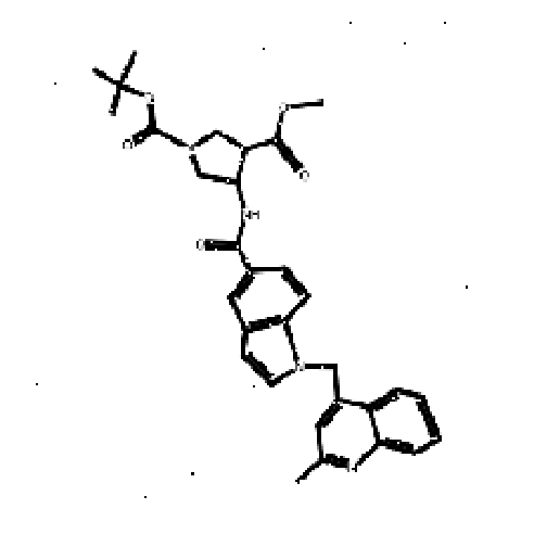 COC(=O)C1CN(C(=O)OC(C)(C)C)CC1NC(=O)c1ccc2c(ccn2Cc2cc(C)nc3ccccc23)c1